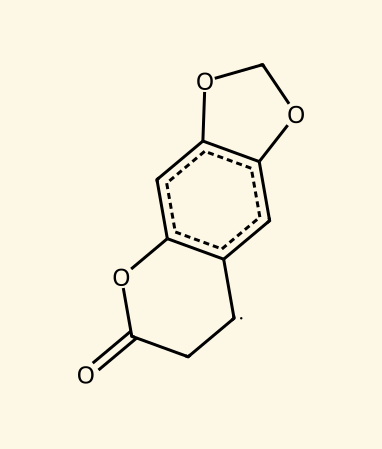 O=C1C[CH]c2cc3c(cc2O1)OCO3